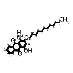 CCCCCCCCCCCCOc1cc(O)c2c(c1N)C(=O)c1ccccc1C2=O